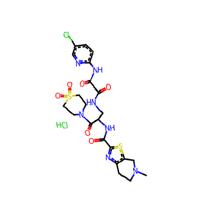 CN1CCc2nc(C(=O)NC(CNC(=O)C(=O)Nc3ccc(Cl)cn3)C(=O)N3CCS(=O)(=O)CC3)sc2C1.Cl